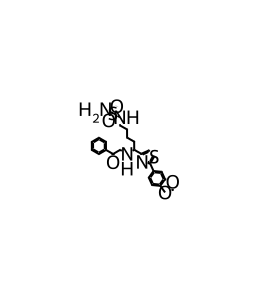 NS(=O)(=O)NCCCCC(NCC(=O)c1ccccc1)c1csc(-c2ccc3c(c2)OCO3)n1